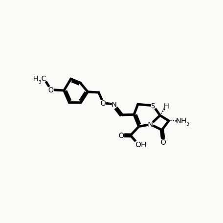 COc1ccc(CON=CC2=C(C(=O)O)N3C(=O)[C@@H](N)[C@@H]3SC2)cc1